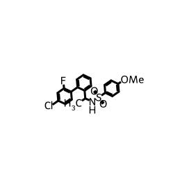 COc1ccc(S(=O)(=O)NC(C)c2ccccc2-c2ccc(Cl)cc2F)cc1